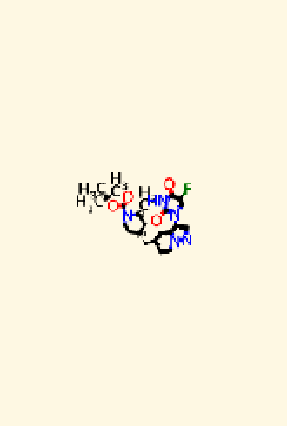 C[C@H]1C[C@H](Cc2ccn3ncc(-n4cc(F)c(=O)[nH]c4=O)c3c2)CCN1C(=O)OC(C)(C)C